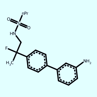 CCCS(=O)(=O)NCC(C)(F)c1ccc(-c2cccc(N)c2)cc1